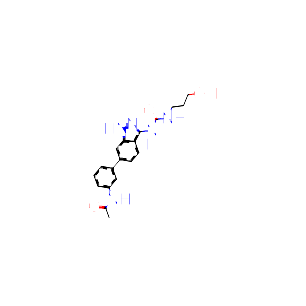 CC(=O)Nc1cccc(-c2ccc3c(NC(=O)NCCCO)n[nH]c3c2)c1